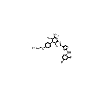 N#Cc1c(N)nc(SCc2csc(Nc3ccc(F)cc3F)n2)c(C#N)c1-c1ccc(OCCO)cc1